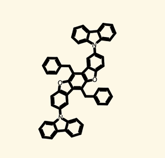 c1ccc(Cc2c3oc4ccc(-n5c6ccccc6c6ccccc65)cc4c3c(Cc3ccccc3)c3oc4ccc(-n5c6ccccc6c6ccccc65)cc4c23)cc1